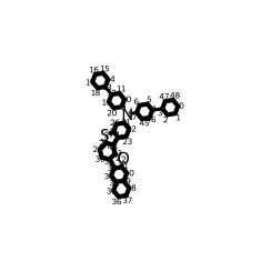 c1ccc(-c2ccc(N(c3ccc(-c4ccccc4)cc3)c3ccc4c(c3)sc3ccc5c6cc7ccccc7cc6oc5c34)cc2)cc1